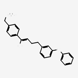 COCc1ccc(C(=CCCc2cccc(Oc3ccccc3)c2)C(F)(F)F)cc1